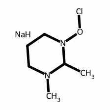 CC1N(C)CCCN1OCl.[NaH]